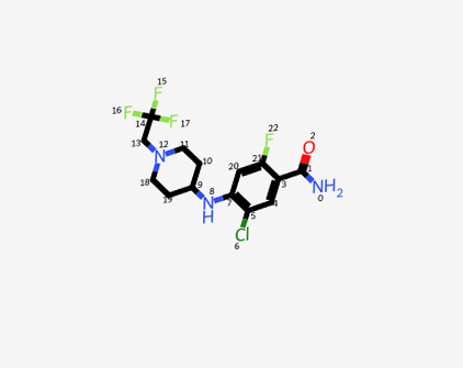 NC(=O)c1cc(Cl)c(NC2CCN(CC(F)(F)F)CC2)cc1F